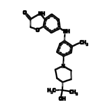 Cc1cc(N2CCC(C(C)(C)O)CC2)ccc1Nc1ccc2c(c1)OCC(=O)N2